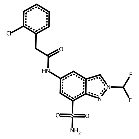 NS(=O)(=O)c1cc(NC(=O)Cc2ccccc2Cl)cc2cn(C(F)F)nc12